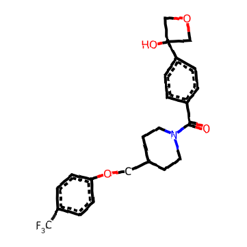 O=C(c1ccc(C2(O)COC2)cc1)N1CCC(COc2ccc(C(F)(F)F)cc2)CC1